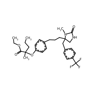 CCCC(C)(Oc1ccc(CCCC2(Cc3ccc(C(F)(F)F)cc3)CNC(=O)N2C)cc1)C(=O)OCC